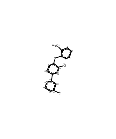 COc1ccccc1Oc1cnc(-c2nccc(Cl)n2)nc1Cl